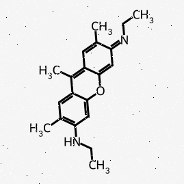 CC/N=c1/cc2oc3cc(NCC)c(C)cc3c(C)c-2cc1C